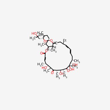 CC[C@H]1/C=C\C=C\C[C@H](C)[C@H](O)[C@](C)(O)C(=O)[C@H](C)[C@@H](O)[C@H](C)C(=O)[C@@H](C)[C@H](O)[C@H](C)/C=C/C(=O)O[C@H]2[C@@H](C)[C@H](CC1)O[C@@]1(CC[C@@H](C)[C@@H](CC(C)(C)O)O1)[C@@H]2C